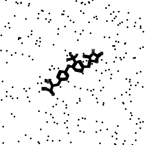 NC(Cc1ccc(Oc2ccc(/C=C3/OC(=O)NC3=O)cc2C(F)(F)F)cc1)C(=O)O